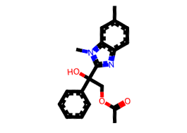 CC(=O)OCC(O)(c1ccccc1)c1nc2ccc(C)cc2n1C